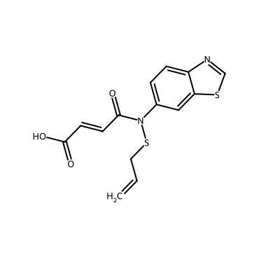 C=CCSN(C(=O)C=CC(=O)O)c1ccc2ncsc2c1